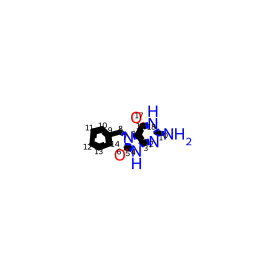 Nc1nc2[nH]c(=O)n(Cc3ccccc3)c2c(=O)[nH]1